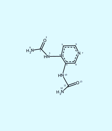 NC(=O)Nc1ccncc1NC(N)=O